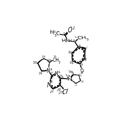 CC(=O)N[C@@H](C)c1ccc(O[C@@H]2CCN(c3nc(N4CCCC4C)ncc3Cl)C2)cc1